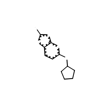 Nc1nc2ccc(OC3CCCC3)nc2s1